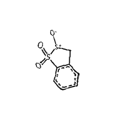 O=S1(=O)c2ccccc2C[S+]1[O-]